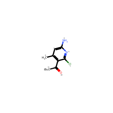 Cc1cc(N)nc(Cl)c1C(=O)OCC(C)C